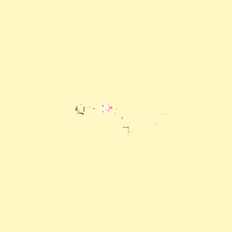 N#CC1(Cc2ccc(F)cc2)CCN(C(=O)COc2ccc(Br)cc2CC(=O)O)CC1